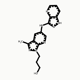 Cc1nn(CCCO)c2ncc(Nc3n[nH]c4cccnc34)cc12